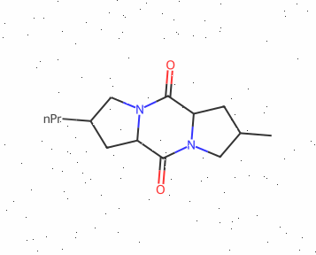 CCCC1CC2C(=O)N3CC(C)CC3C(=O)N2C1